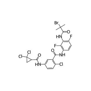 CC(C)(Br)C(=O)Nc1c(F)ccc(NC(=O)c2cc(NC(=O)C3CC3(Cl)Cl)ccc2Cl)c1F